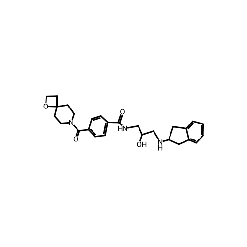 O=C(NCC(O)CNC1Cc2ccccc2C1)c1ccc(C(=O)N2CCC3(CCO3)CC2)cc1